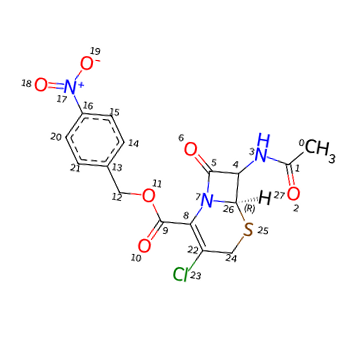 CC(=O)NC1C(=O)N2C(C(=O)OCc3ccc([N+](=O)[O-])cc3)=C(Cl)CS[C@H]12